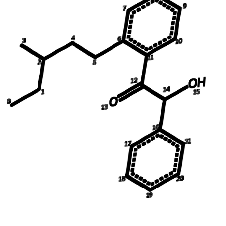 CCC(C)CCc1ccccc1C(=O)C(O)c1ccccc1